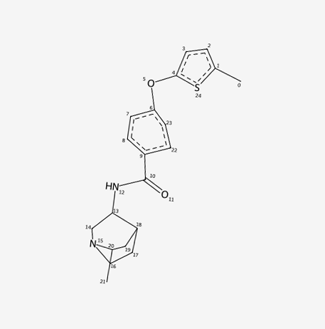 Cc1ccc(Oc2ccc(C(=O)NC3CN4CCC3CC4C)cc2)s1